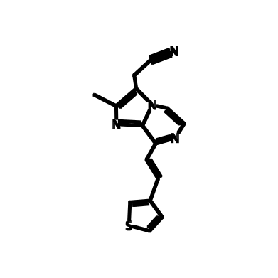 Cc1nc2c(/C=C/c3ccsc3)nccn2c1CC#N